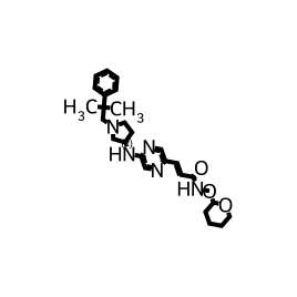 CC(C)(CN1CC[C@@H](Nc2cnc(C=CC(=O)NOC3CCCCO3)cn2)C1)c1ccccc1